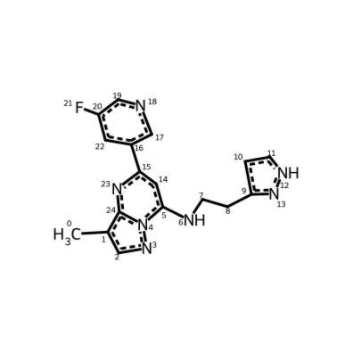 Cc1cnn2c(NCCc3cc[nH]n3)cc(-c3cncc(F)c3)nc12